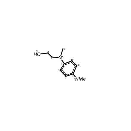 CNc1ccc(N(C)CCO)cc1